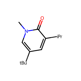 CC(C)c1cc(C(C)(C)C)cn(C)c1=O